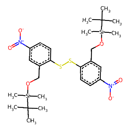 CC(C)(C)[Si](C)(C)OCc1cc([N+](=O)[O-])ccc1SSc1ccc([N+](=O)[O-])cc1CO[Si](C)(C)C(C)(C)C